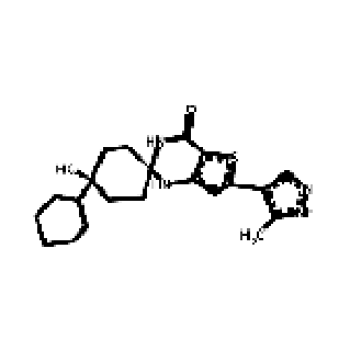 Cc1[nH]ncc1-c1cc2c(s1)C(=O)N[C@]1(CC[C@@](O)(C3CCCCC3)CC1)N2